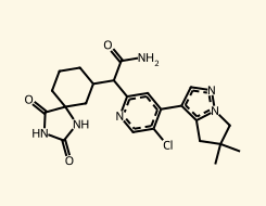 CC1(C)Cc2c(-c3cc(C(C(N)=O)C4CCCC5(C4)NC(=O)NC5=O)ncc3Cl)cnn2C1